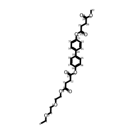 CCOCCOCCOC(=O)CCC(=O)Oc1ccc(-c2ccc(OC(=O)CCC(=O)OC)cc2)cc1